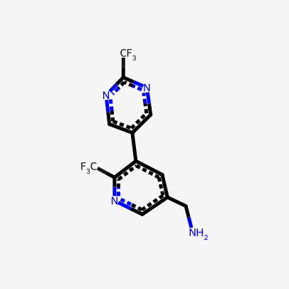 NCc1cnc(C(F)(F)F)c(-c2cnc(C(F)(F)F)nc2)c1